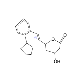 O=C1CC(O)CC(/C=C/c2ccccc2C2CCCC2)O1